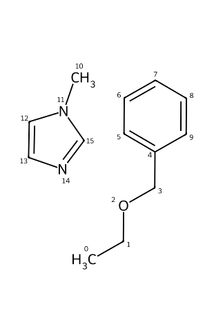 CCOCc1ccccc1.Cn1ccnc1